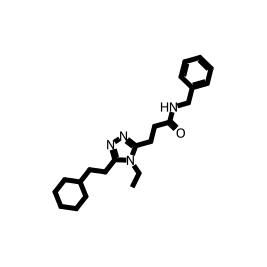 CCn1c(CCC(=O)NCc2ccccc2)nnc1CCC1CCCCC1